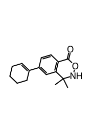 CC1(C)NOC(=O)c2ccc(C3=CCCCC3)cc21